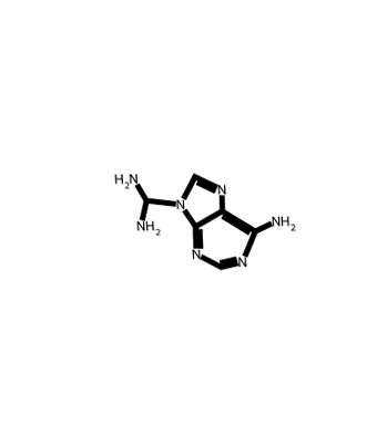 Nc1ncnc2c1ncn2C(N)N